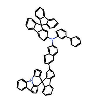 c1ccc(-c2cccc(N(c3ccc4c(c3)C3(c5ccccc5-c5ccccc53)c3ccccc3-4)c3ccc4cc(-c5ccc6c(c5)C5(c7ccccc7-6)c6ccccc6-n6c7ccccc7c7cccc5c76)ccc4c3)c2)cc1